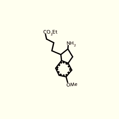 CCOC(=O)CCCC1c2ccc(OC)cc2CC1N